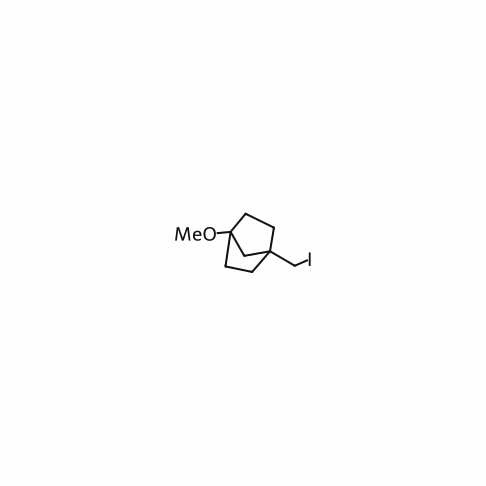 COC12CCC(CI)(CC1)C2